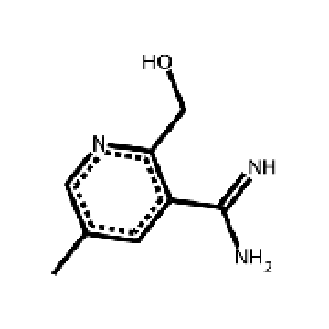 Cc1cnc(CO)c(C(=N)N)c1